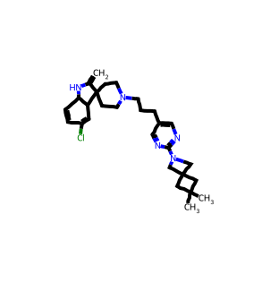 C=C1NC2C=CC(Cl)=CC2C12CCN(CCCc1cnc(N3CC4(C3)CC(C)(C)C4)nc1)CC2